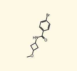 COC1CC(NC(=O)c2ccc(Br)cc2)C1